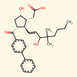 CCCCC(C)(C)C(O)C=C[C@@H]1[C@@H](CC(=O)O)[C@@H](O)C[C@H]1C(=O)c1ccc(-c2ccccc2)cc1